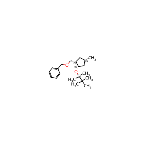 C[C@H]1C[C@@H](COCc2ccccc2)[C@@H](O[Si](C)(C)C(C)(C)C)C1